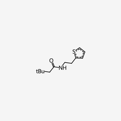 CC(C)(C)CC(=O)NCCc1cccs1